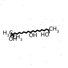 CC(CO)CCCCCCCC(O)CCCCCCCC(C)(C)CO